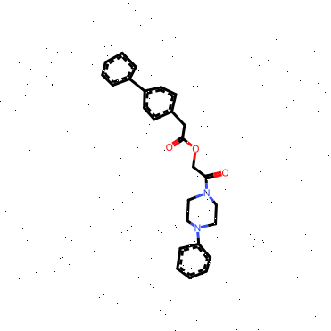 O=C(Cc1ccc(-c2ccccc2)cc1)OCC(=O)N1CCN(c2ccccc2)CC1